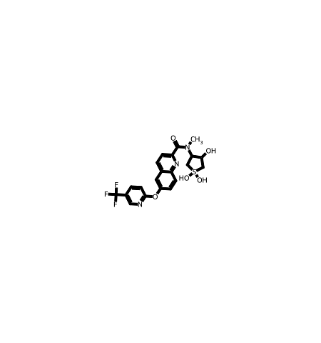 CN(C(=O)c1ccc2cc(Oc3ccc(C(F)(F)F)cn3)ccc2n1)C1CS(O)(O)CC1O